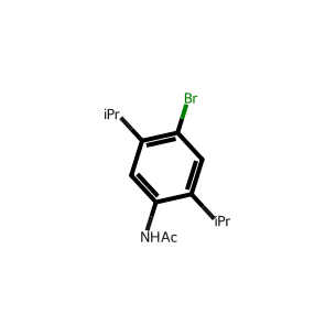 CC(=O)Nc1cc(C(C)C)c(Br)cc1C(C)C